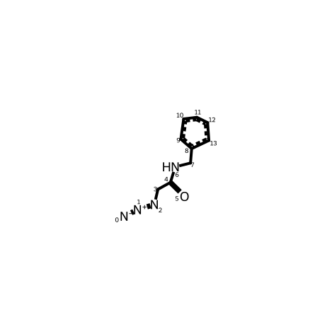 [N-]=[N+]=NCC(=O)NCc1ccccc1